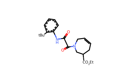 CCOC(=O)C1CC=CCN(C(=O)C(=O)Nc2ccccc2C(C)(C)C)C1